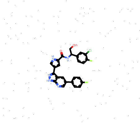 O=C(NC(CO)c1ccc(F)c(Cl)c1)c1cc(-c2n[nH]c3ncc(-c4ccc(F)cc4)cc23)c[nH]1